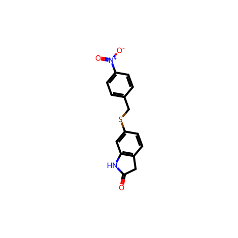 O=C1Cc2ccc(SCc3ccc([N+](=O)[O-])cc3)cc2N1